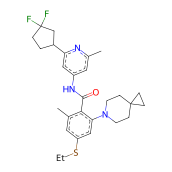 CCSc1cc(C)c(C(=O)Nc2cc(C)nc(C3CCC(F)(F)C3)c2)c(N2CCC3(CC2)CC3)c1